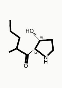 CCCC(C)C(=O)[C@H]1NCC[C@H]1O